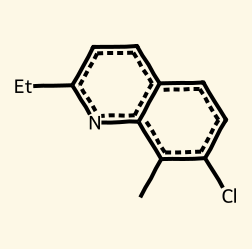 CCc1ccc2ccc(Cl)c(C)c2n1